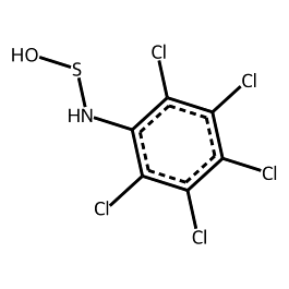 OSNc1c(Cl)c(Cl)c(Cl)c(Cl)c1Cl